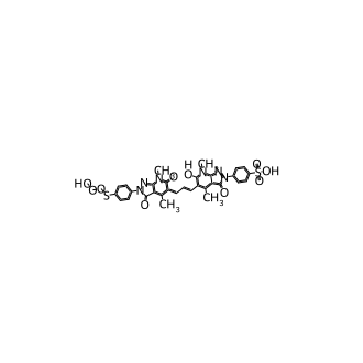 Cc1c(C=CC=c2c(C)c3c(n(C)c2=O)=NN(c2ccc(SOOO)cc2)C3=O)c(O)n(C)c2nn(-c3ccc(S(=O)(=O)O)cc3)c(=O)c1-2